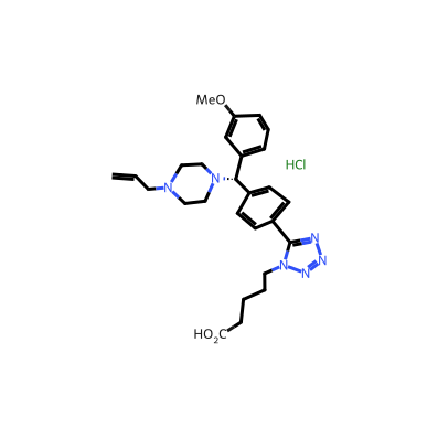 C=CCN1CCN([C@@H](c2ccc(-c3nnnn3CCCCC(=O)O)cc2)c2cccc(OC)c2)CC1.Cl